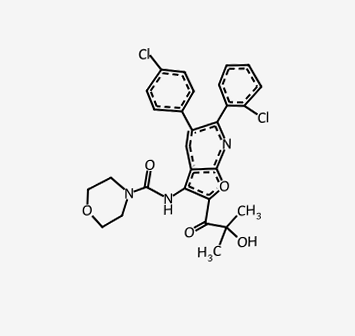 CC(C)(O)C(=O)c1oc2nc(-c3ccccc3Cl)c(-c3ccc(Cl)cc3)cc2c1NC(=O)N1CCOCC1